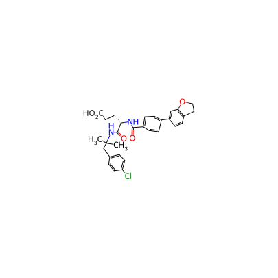 CC(C)(Cc1ccc(Cl)cc1)NC(=O)[C@H](CCC(=O)O)NC(=O)c1ccc(-c2ccc3c(c2)OCC3)cc1